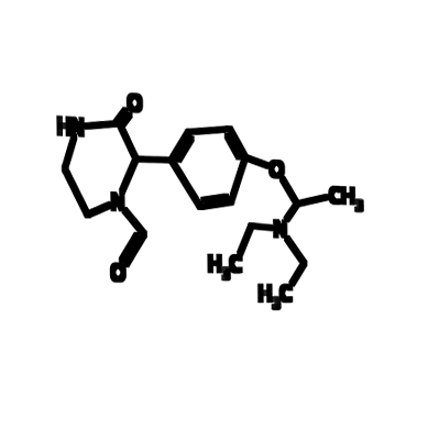 CCN(CC)C(C)Oc1ccc(C2C(=O)NCCN2C=O)cc1